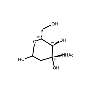 CC(=O)N[C@@]1(O)CC(O)O[C@H](CO)[C@H]1O